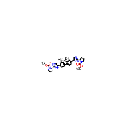 CC(C)(C)OC(=O)N1CCC[C@H]1c1ncc(-c2ccc3c(c2)[Si](C)(C)c2cc(-c4cnc([C@@H]5CCCN5C(=O)OC(C)(C)C)[nH]4)ccc2-3)[nH]1